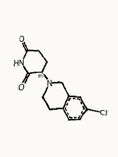 O=C1CC[C@@H](N2CCc3ccc(Cl)cc3C2)C(=O)N1